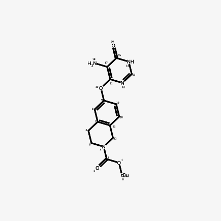 CC(C)(C)OC(=O)N1CCc2cc(Oc3nc[nH]c(=O)c3N)ccc2C1